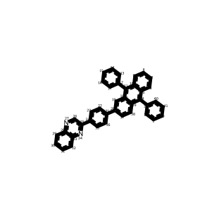 c1ccc(-c2c3ccccc3c(-c3ccccc3)c3cc(-c4ccc(-c5cnc6ccccc6n5)cc4)ccc23)cc1